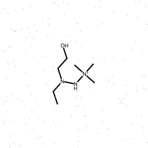 CCN(CCO)N[N+](C)(C)C